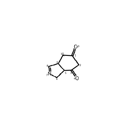 O=C1CC(=O)C2CN=CC2C1